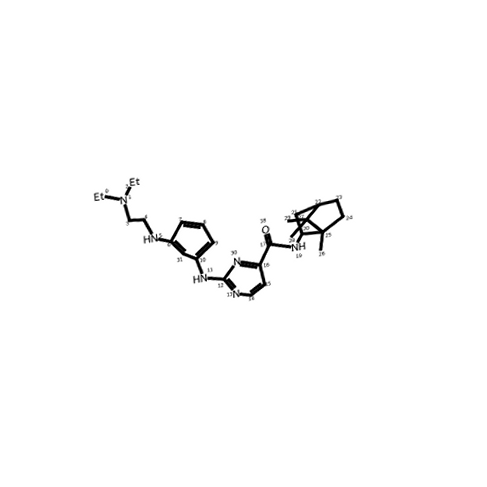 CCN(CC)CCNc1cccc(Nc2nccc(C(=O)NC3CC4CCC3(C)C4(C)C)n2)c1